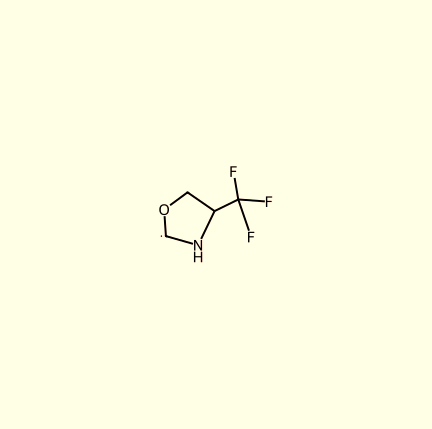 FC(F)(F)C1CO[CH]N1